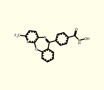 O=C(NO)c1ccc(C2=Nc3ccc(C(F)(F)F)nc3Oc3ccccc32)cc1